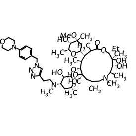 CC[C@H]1OC(=O)[C@H](C)[C@@H](C2C[C@@](C)(OC)[C@@H](O)[C@H](C)O2)[C@H](C)[C@@H](O[C@@H]2O[C@H](C)C[C@H](N(C)CCc3cn(Cc4ccc(N5CCOCC5)cc4)nn3)[C@H]2O)[C@](C)(O)C[C@@H](C)CN(C)[C@H](C)[C@@H](O)[C@]1(C)O